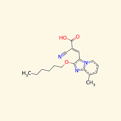 CCCCCCOc1nc2c(C)cccn2c1C=C(C#N)C(=O)O